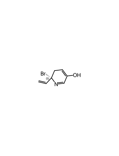 C=C[C@@]1(Br)CC=C(O)C=N1